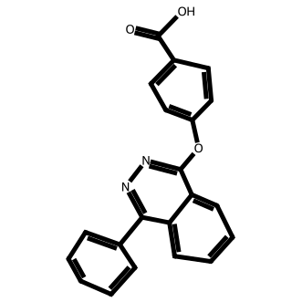 O=C(O)c1ccc(Oc2nnc(-c3ccccc3)c3ccccc23)cc1